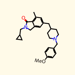 COc1ccc(CN2CCC(Cc3cc(C)c4c(c3)CN(CC3CC3)C4=O)CC2)cc1